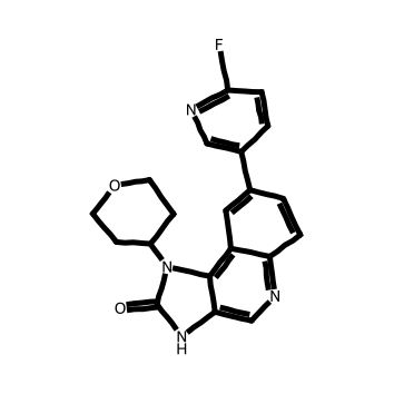 O=c1[nH]c2cnc3ccc(-c4ccc(F)nc4)cc3c2n1C1CCOCC1